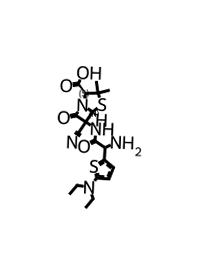 CCN(CC)c1ccc(C(N)C(=O)NC2(C#N)C(=O)N3[C@@H](C(=O)O)C(C)(C)S[C@@H]32)s1